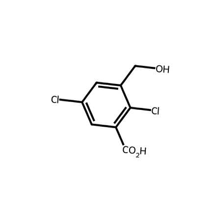 O=C(O)c1cc(Cl)cc(CO)c1Cl